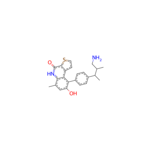 Cc1cc(O)c(-c2ccc(C(C)C(C)CN)cc2)c2c1[nH]c(=O)c1sccc12